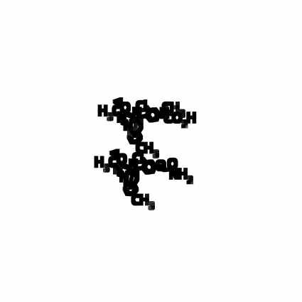 Cc1ccnc(Cn2c(-c3ccc(N(C)C(=O)O)cc3Cl)nc3c(OC4(C)CC4)ncnc32)c1.Cc1ccnc(Cn2c(-c3ccc(OCC(N)=O)cc3Cl)nc3c(OC4(C)CC4)ncnc32)c1